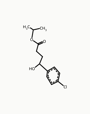 CC(C)OC(=O)CCC(O)c1ccc(Cl)cc1